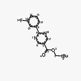 [CH2]C(C)(C)COC(=O)c1cnc(-c2cccc(F)c2)nc1